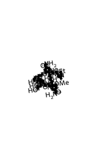 CCn1nc(C)cc1C(=O)Nc1nc2cc(C(N)=O)cc(OCCCN3CCNCC3)c2n1C/C=C/Cn1c(NC(=O)c2cc(C)nn2CC(O)CO)nc2cc(C(N)=O)cc(OC)c21